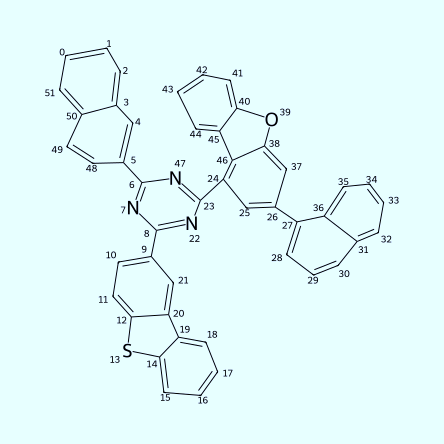 c1ccc2cc(-c3nc(-c4ccc5sc6ccccc6c5c4)nc(-c4cc(-c5cccc6ccccc56)cc5oc6ccccc6c45)n3)ccc2c1